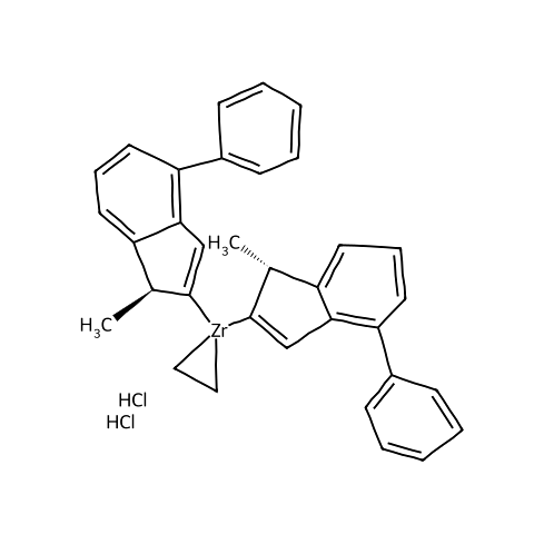 C[C@@H]1[C]([Zr]2([C]3=Cc4c(-c5ccccc5)cccc4[C@H]3C)[CH2][CH2]2)=Cc2c(-c3ccccc3)cccc21.Cl.Cl